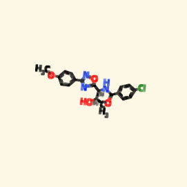 COc1ccc(-c2noc([C@@H](NC(=O)c3ccc(Cl)cc3)[C@@H](C)O)n2)cc1